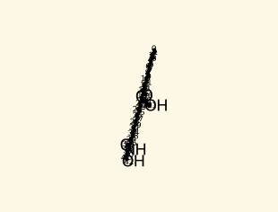 CCCCCCCCCCCCCCCC(=O)OC(CCO)CCCCCCCCCCCCCCC(=O)NCCCO